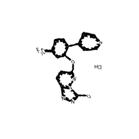 Cl.FC(F)(F)c1ccc(-c2ccncc2)c(Oc2ccc3nnc(Cl)n3n2)c1